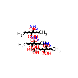 CCCCC(C(=O)O)C(CCCC)C(=O)ON.CCCCC(C(=O)O)C(CCCC)C(=O)ON.CCCCC(C(=O)O)C(CCCC)C(=O)ON.OB(O)O